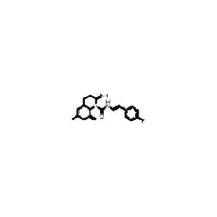 C=C1CC(C)CC2CCC(=N)N(C(=O)N/C=C/c3ccc(F)cc3)C12